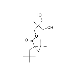 CC(C)(C)CC1(C(=O)OCC(C)(CO)CO)CC1(C)C